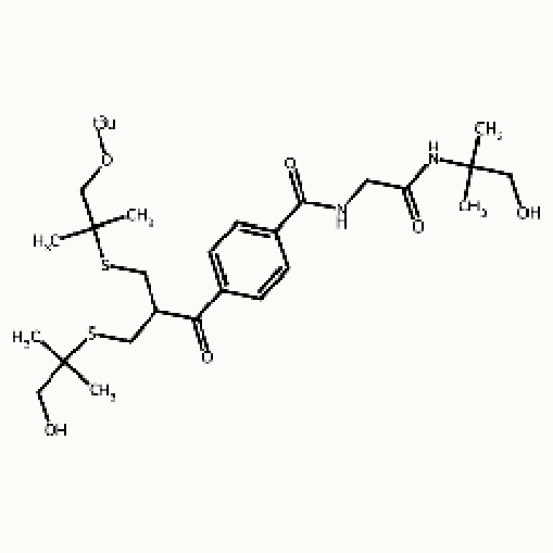 CC(C)(CO)NC(=O)CNC(=O)c1ccc(C(=O)C(CSC(C)(C)CO)CSC(C)(C)COC(C)(C)C)cc1